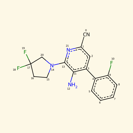 N#Cc1cc(-c2ccccc2F)c(N)c(N2CCC(F)(F)C2)n1